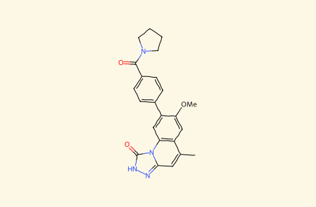 COc1cc2c(C)cc3n[nH]c(=O)n3c2cc1-c1ccc(C(=O)N2CCCC2)cc1